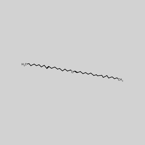 CCCCCCCCC=CCCCCCCCCOC=CCCCCCCCCCCCCCCCC